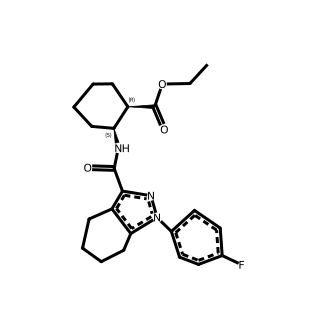 CCOC(=O)[C@@H]1CCCC[C@@H]1NC(=O)c1nn(-c2ccc(F)cc2)c2c1CCCC2